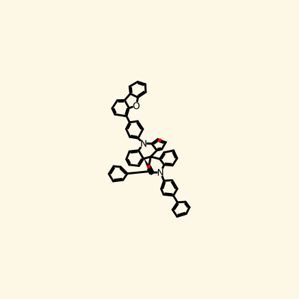 c1ccc(-c2ccc(N3c4ccccc4C4(c5ccccc5N(c5ccc(-c6cccc7c6oc6ccccc67)cc5)c5ccccc54)c4cc(-c5ccccc5)ccc43)cc2)cc1